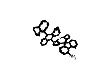 Nc1cccc2c1-c1ccccc1C21C2=CC=CCC2Sc2c(-c3c4ccccc4c(-c4cccc5ccccc45)c4ccccc34)cccc21